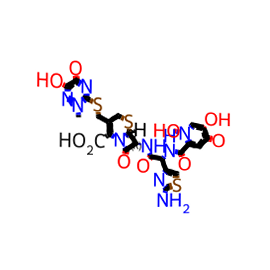 Cn1nc(O)c(=O)nc1SCC1=C(C(=O)O)N2C(=O)[C@@H](NC(=O)C(NC(=O)c3cc(=O)c(O)cn3O)c3csc(N)n3)[C@H]2SC1